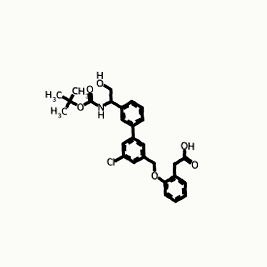 CC(C)(C)OC(=O)NC(CO)c1cccc(-c2cc(Cl)cc(COc3ccccc3CC(=O)O)c2)c1